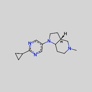 CN1CCC2[C@H](CCN2c2cnc(C3CC3)nc2)C1